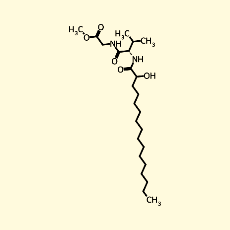 CCCCCCCCCCCCCCC(O)C(=O)N[C@H](C(=O)NCC(=O)OC)C(C)C